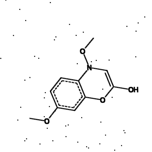 COc1ccc2c(c1)OC(O)=CN2OC